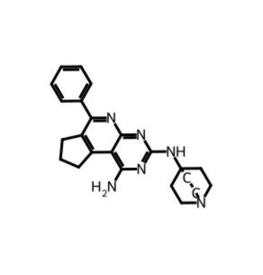 Nc1nc(NC23CCN(CC2)CC3)nc2nc(-c3ccccc3)c3c(c12)CCC3